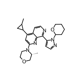 CC1CC1c1cc(N2CCOC[C@H]2C)nc2c(-c3ccnn3C3CCCCO3)nccc12